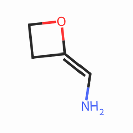 NC=C1CCO1